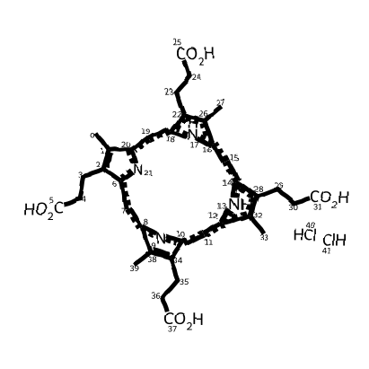 CC1=C(CCC(=O)O)c2cc3nc(cc4[nH]c(cc5[nH]c(cc1n2)c(CCC(=O)O)c5C)c(CCC(=O)O)c4C)C(CCC(=O)O)=C3C.Cl.Cl